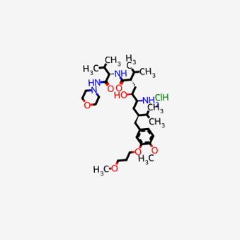 COCCCOc1cc(C[C@@H](C[C@H](N)[C@@H](O)C[C@H](C(=O)N[C@H](C(=O)NN2CCOCC2)C(C)C)C(C)C)C(C)C)ccc1OC.Cl